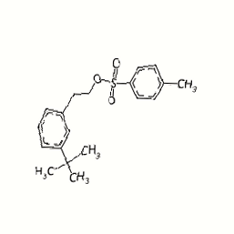 Cc1ccc(S(=O)(=O)OCCc2cccc(C(C)(C)C)c2)cc1